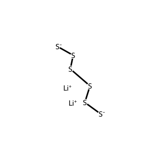 [Li+].[Li+].[S-]SSSS[S-]